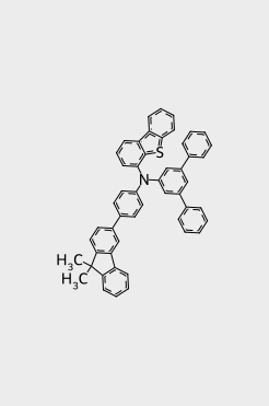 CC1(C)c2ccccc2-c2cc(-c3ccc(N(c4cc(-c5ccccc5)cc(-c5ccccc5)c4)c4cccc5c4sc4ccccc45)cc3)ccc21